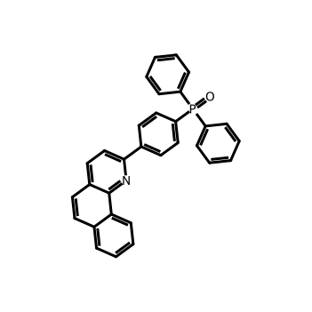 O=P(c1ccccc1)(c1ccccc1)c1ccc(-c2ccc3ccc4ccccc4c3n2)cc1